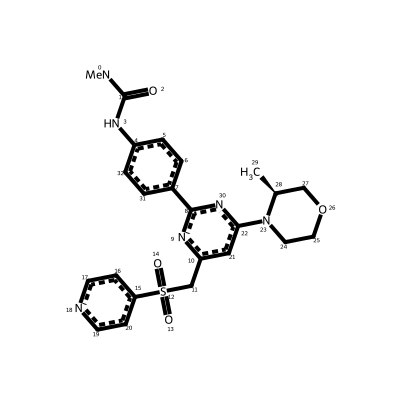 CNC(=O)Nc1ccc(-c2nc(CS(=O)(=O)c3ccncc3)cc(N3CCOC[C@@H]3C)n2)cc1